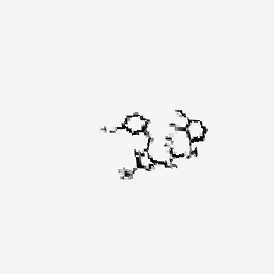 CC(C)(C)c1cc(NC(=O)Nc2cccc(Cl)c2Cl)n(Cc2cccc(O)c2)n1